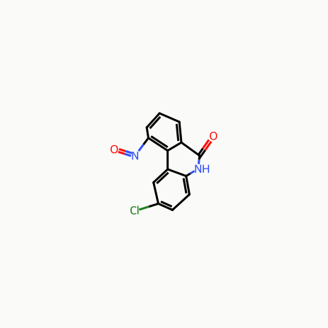 O=Nc1cccc2c(=O)[nH]c3ccc(Cl)cc3c12